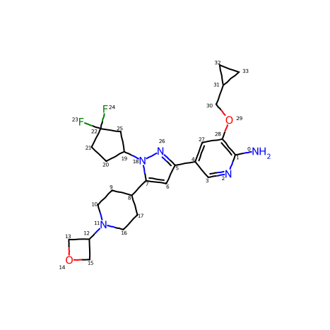 Nc1ncc(-c2cc(C3CCN(C4COC4)CC3)n(C3CCC(F)(F)C3)n2)cc1OCC1CC1